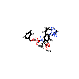 CC(C)OC(=O)[C@](CC(C)(C)C)(NC(=O)OCc1ccccc1)c1ccc2c(ccc3ncnn32)c1